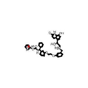 O=C(NC(c1ccccc1)c1cccc(OCCOc2cccc(CNC[C@@H](O)c3ccc(O)c4[nH]c(=O)ccc34)c2)c1)O[C@H]1CN2CCC1CC2